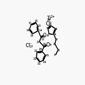 CCCCC1=CC=CC1.O=C(CC(=O)c1ccccc1)c1ccccc1.[Cl-].[Cl-].[Ti+2]